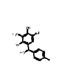 Cc1ccc(C(O)c2cc(Cl)c(O)c(N)c2O)cc1